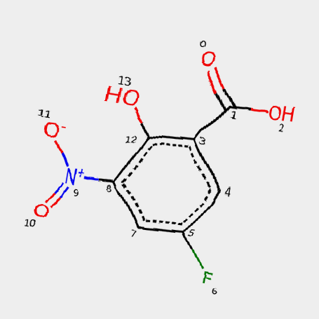 O=C(O)c1cc(F)cc([N+](=O)[O-])c1O